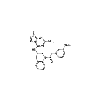 COc1cccc(CC(=O)N2CC(Nc3nc(N)nc4[nH]ncc34)Cc3ccccc32)c1